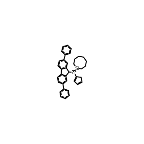 C1=CC[C]([Zr]([CH]2c3cc(-c4ccccc4)ccc3-c3ccc(-c4ccccc4)cc32)=[Si]2CCCCCCC2)=C1